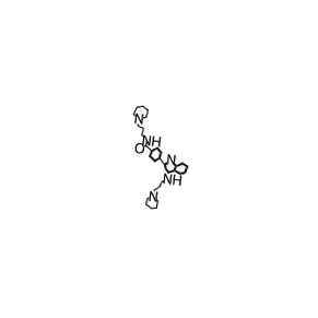 O=C(NCCCN1CCCCC1)c1ccc(-c2cc(NCCCN3CCCCC3)c3ccccc3n2)cc1